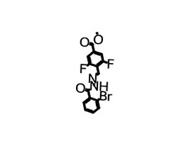 COC(=O)c1cc(F)c(/C=N/NC(=O)c2ccccc2Br)c(F)c1